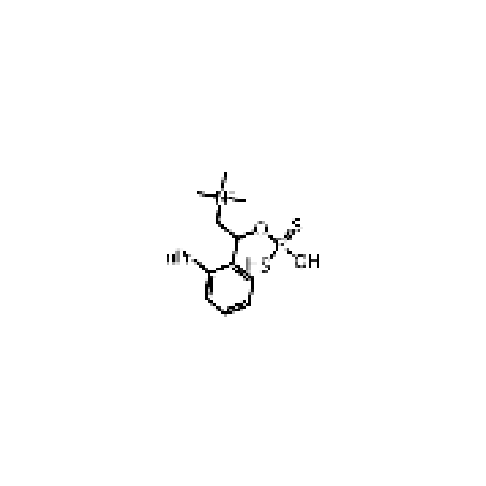 CCCc1ccccc1C(C[N+](C)(C)C)OP(O)(=S)S